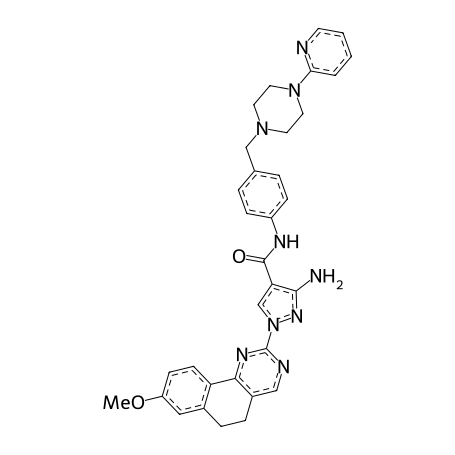 COc1ccc2c(c1)CCc1cnc(-n3cc(C(=O)Nc4ccc(CN5CCN(c6ccccn6)CC5)cc4)c(N)n3)nc1-2